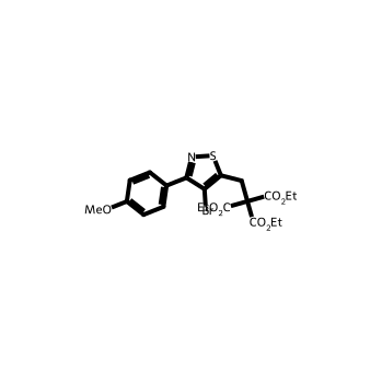 CCOC(=O)C(Cc1snc(-c2ccc(OC)cc2)c1Br)(C(=O)OCC)C(=O)OCC